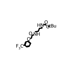 CC(C)(C)OC(=O)NCCCCNC(=O)COc1cccc(C(F)(F)F)c1